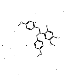 COc1ccc(CN(Cc2ccc(OC)cc2)c2cc(OC)c(Br)cc2F)cc1